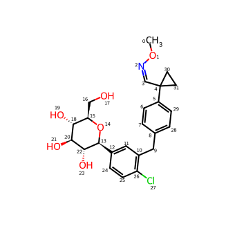 CO/N=C\C1(c2ccc(Cc3cc([C@@H]4O[C@H](CO)[C@@H](O)[C@H](O)[C@H]4O)ccc3Cl)cc2)CC1